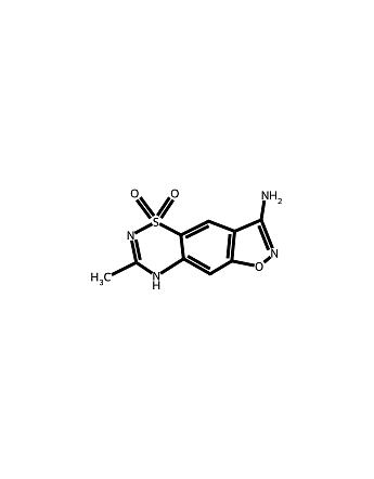 CC1=NS(=O)(=O)c2cc3c(N)noc3cc2N1